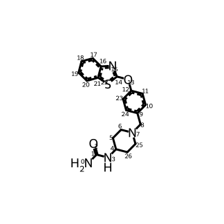 NC(=O)NC1CCN(Cc2ccc(Oc3nc4ccccc4s3)cc2)CC1